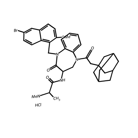 CNC(C)C(=O)NC1CN(C(=O)CC23CC4CC(CC(C4)C2)C3)c2ccccc2N(Cc2c(OC)ccc3cc(Br)ccc23)C1=O.Cl